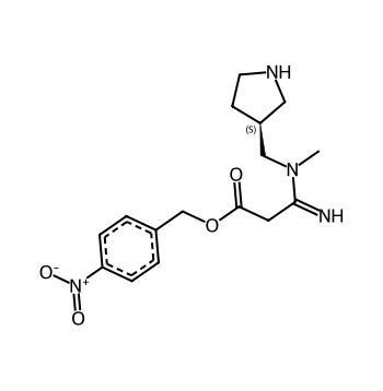 CN(C[C@H]1CCNC1)C(=N)CC(=O)OCc1ccc([N+](=O)[O-])cc1